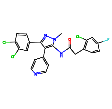 Cn1nc(-c2ccc(Cl)c(Cl)c2)c(-c2ccncc2)c1NC(=O)Cc1ccc(F)cc1Cl